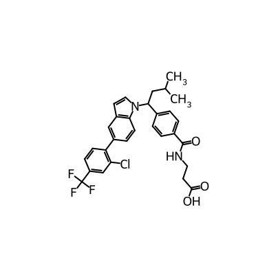 CC(C)CC(c1ccc(C(=O)NCCC(=O)O)cc1)n1ccc2cc(-c3ccc(C(F)(F)F)cc3Cl)ccc21